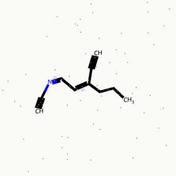 C#C/N=C\C=C(/C#C)CCC